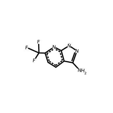 NC1=N[N]c2nc(C(F)(F)F)ccc21